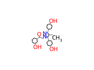 CCc1c(-c2ccc(O)cc2)nn(CC(=O)c2cccc(O)c2)c1-c1ccc(O)cc1